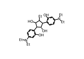 CCC1C(O)C(c2ccc(N(CC)CC)cc2O)[C@H](O)C1c1ccc(N(CC)CC)cc1O